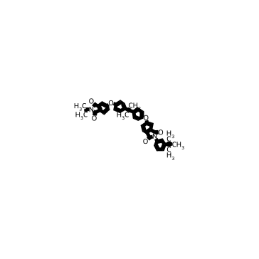 CC(C)N1C(=O)c2ccc(Oc3ccc(C(C)(C)c4ccc(Oc5ccc6c(c5)C(=O)N(c5cccc(C(C)(C)C)c5)C6=O)cc4)cc3)cc2C1=O